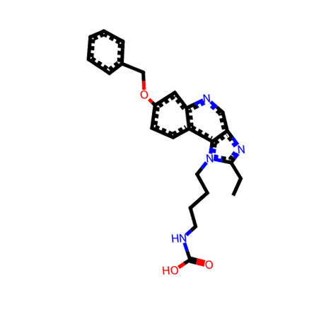 CCc1nc2cnc3cc(OCc4ccccc4)ccc3c2n1CCCCNC(=O)O